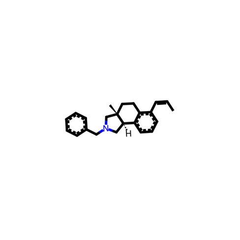 C/C=C\c1cccc2c1CC[C@@]1(C)CN(Cc3ccccc3)C[C@H]21